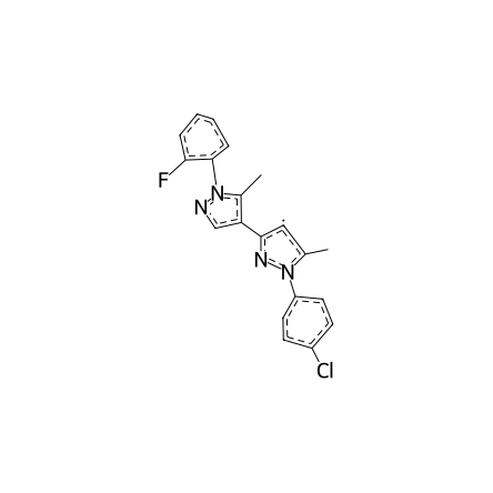 Cc1[c]c(-c2cnn(-c3ccccc3F)c2C)nn1-c1ccc(Cl)cc1